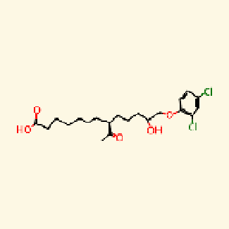 CC(=O)C(CCCCCCC(=O)O)CCCC(O)COc1ccc(Cl)cc1Cl